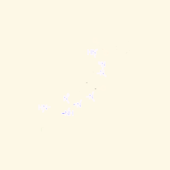 CCn1c(=O)c(-c2cc(NS(=O)(=O)Cc3ccccc3)nn2C)cc2cnc(N[C@@H]3CNC[C@@H](F)C3)nc21